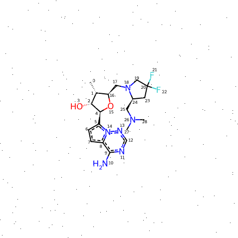 C[C@H]1[C@@H](O)[C@H](c2ccc3c(N)ncnn23)O[C@@H]1CN1CC(F)(F)C[C@H]1CN(C)C